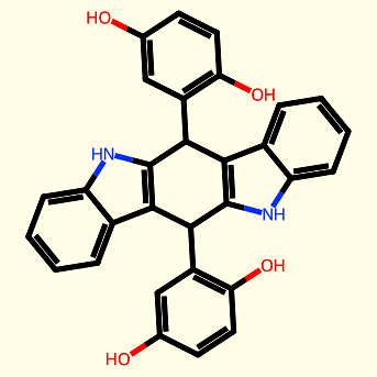 Oc1ccc(O)c(C2c3[nH]c4ccccc4c3C(c3cc(O)ccc3O)c3[nH]c4ccccc4c32)c1